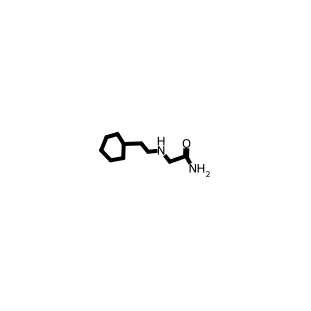 NC(=O)CNCCC1CCCCC1